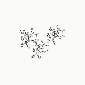 CC12CCC(C(S(=O)(=O)[O-])C1=O)C2(C)C.CC12CCC(C(S(=O)(=O)[O-])C1=O)C2(C)C.CC12CCC(C(S(=O)(=O)[O-])C1=O)C2(C)C.[Al+3]